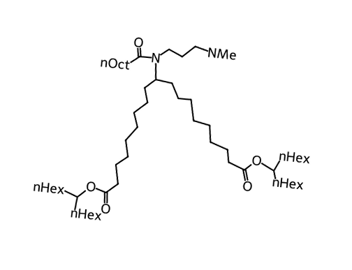 CCCCCCCCC(=O)N(CCCNC)C(CCCCCCCCC(=O)OC(CCCCCC)CCCCCC)CCCCCCCCC(=O)OC(CCCCCC)CCCCCC